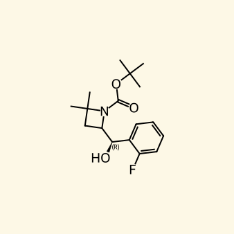 CC(C)(C)OC(=O)N1C([C@H](O)c2ccccc2F)CC1(C)C